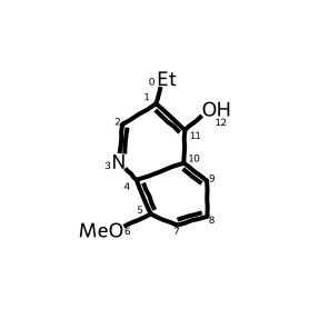 [CH2]Cc1cnc2c(OC)cccc2c1O